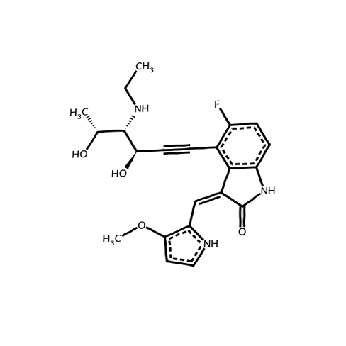 CCN[C@H]([C@H](O)C#Cc1c(F)ccc2c1/C(=C/c1[nH]ccc1OC)C(=O)N2)[C@@H](C)O